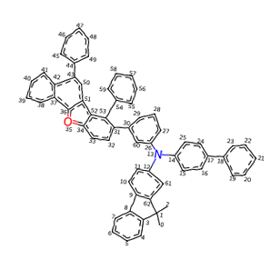 CC1(C)c2ccccc2-c2ccc(N(c3ccc(-c4ccccc4)cc3)c3cccc(-c4ccc5oc6c7ccccc7c(-c7ccccc7)cc6c5c4-c4ccccc4)c3)cc21